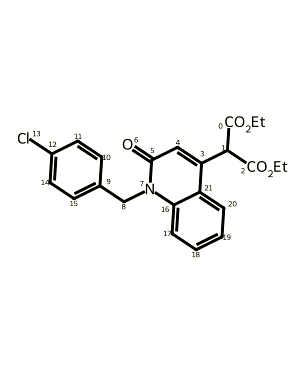 CCOC(=O)C(C(=O)OCC)c1cc(=O)n(Cc2ccc(Cl)cc2)c2ccccc12